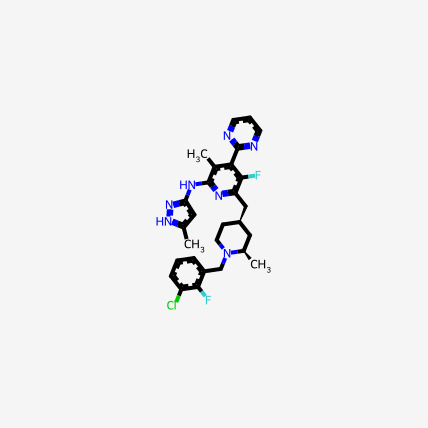 Cc1cc(Nc2nc(C[C@@H]3CCN(Cc4cccc(Cl)c4F)[C@H](C)C3)c(F)c(-c3ncccn3)c2C)n[nH]1